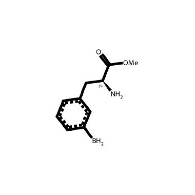 Bc1cccc(C[C@H](N)C(=O)OC)c1